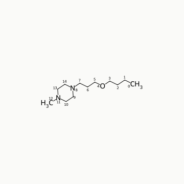 CCCCOCCCN1CCN(C)CC1